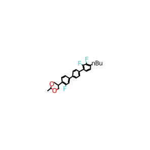 CCCCc1ccc(-c2ccc(-c3ccc(C4COC(C)OC4)c(F)c3)cc2)c(F)c1F